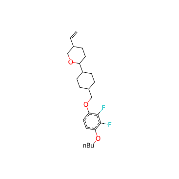 C=CC1CCC(C2CCC(COc3ccc(OCCCC)c(F)c3F)CC2)OC1